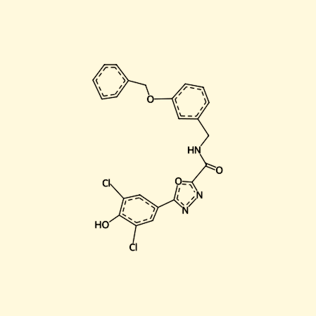 O=C(NCc1cccc(OCc2ccccc2)c1)c1nnc(-c2cc(Cl)c(O)c(Cl)c2)o1